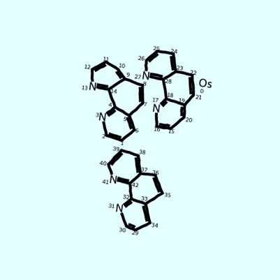 [Os].c1cnc2c(c1)ccc1cccnc12.c1cnc2c(c1)ccc1cccnc12.c1cnc2c(c1)ccc1cccnc12